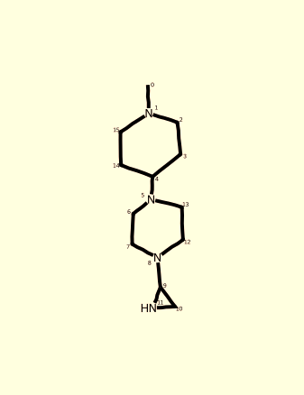 CN1CCC(N2CCN(C3CN3)CC2)CC1